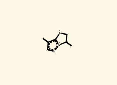 Cc1cnn2c1OCC2C